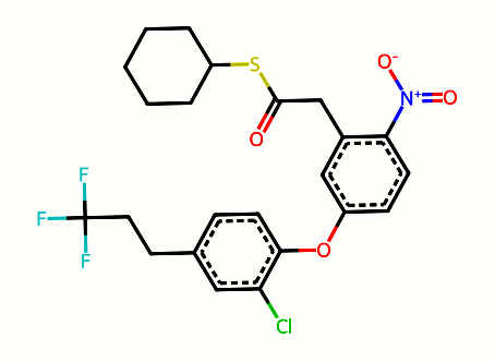 O=C(Cc1cc(Oc2ccc(CCC(F)(F)F)cc2Cl)ccc1[N+](=O)[O-])SC1CCCCC1